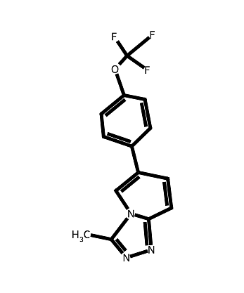 Cc1nnc2ccc(-c3ccc(OC(F)(F)F)cc3)cn12